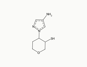 Nc1cnn(C2CCOCC2S)c1